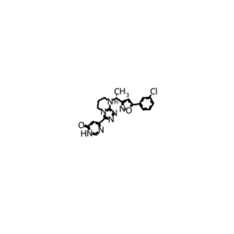 C[C@H](c1cc(-c2cccc(Cl)c2)on1)N1CCCn2c(-c3cc(=O)[nH]cn3)nnc21